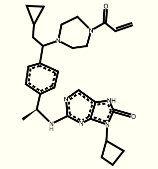 C=CC(=O)N1CCN(C(CC2CC2)c2ccc([C@H](C)Nc3ncc4[nH]c(=O)n(C5CCC5)c4n3)cc2)CC1